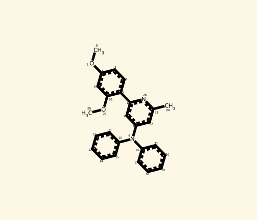 COc1ccc(-c2cc(N(c3ccccc3)c3ccccc3)cc(C)n2)c(OC)c1